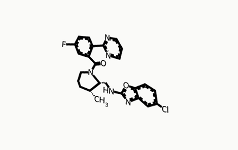 C[C@@H]1CCCN(C(=O)c2cc(F)ccc2-c2ncccn2)[C@@H]1CNc1nc2cc(Cl)ccc2o1